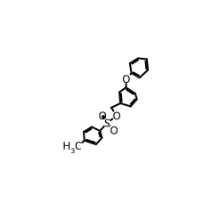 Cc1ccc(S(=O)(=O)OCc2cccc(Oc3ccccc3)c2)cc1